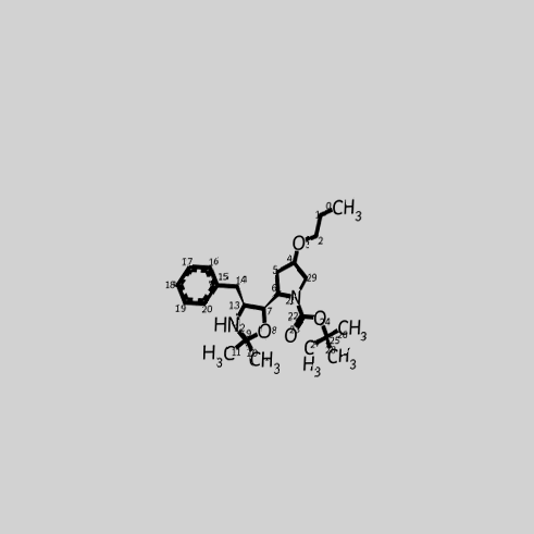 CCCOC1CC([C@H]2OC(C)(C)N[C@H]2Cc2ccccc2)N(C(=O)OC(C)(C)C)C1